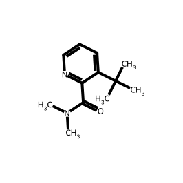 CN(C)C(=O)c1ncccc1C(C)(C)C